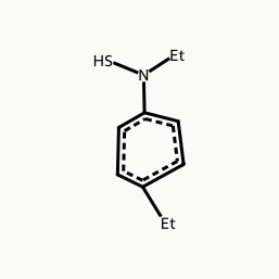 CCc1ccc(N(S)CC)cc1